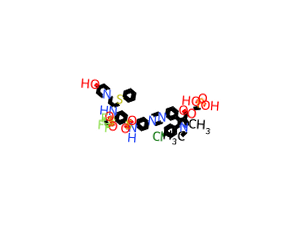 CCn1c(C)c(C(=O)OCCP(=O)(O)O)c(-c2cccc(N3CCN(c4ccc(NS(=O)(=O)c5ccc(NC(CCN6CCC(O)CC6)CSc6ccccc6)c(S(=O)(=O)C(F)(F)F)c5)cc4)CC3)c2)c1-c1ccc(Cl)cc1